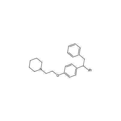 CC(C)[C](Cc1ccccc1)c1ccc(OCCN2CCCCC2)cc1